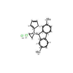 CC(C)(C)c1ccc2c(c1)[CH]([Zr+2]1([C]3=CC=CC3)[CH2][CH2]1)c1cc(C(C)(C)C)ccc1-2.[Cl-].[Cl-]